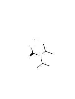 CC(C)N(C(=O)O)C(C)C.[Cu]